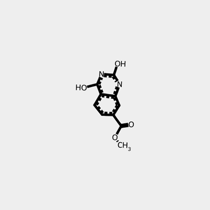 COC(=O)c1ccc2c(O)nc(O)nc2c1